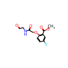 COC(=O)c1cc(F)ccc1OCC(=O)NCC=O